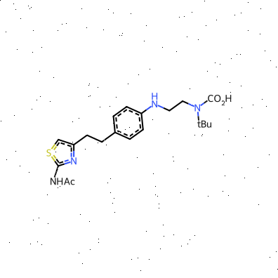 CC(=O)Nc1nc(CCc2ccc(NCCN(C(=O)O)C(C)(C)C)cc2)cs1